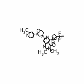 Cc1cc([C@H]2C[C@@H](c3cc4nc(C)n(C)c(=O)c4c([C@H]4CC5(C(F)(F)F)CC4C5)n3)CCO2)ccn1